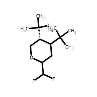 CC(C)(C)C1CC(C(F)F)OC[C@@H]1C(C)(C)C